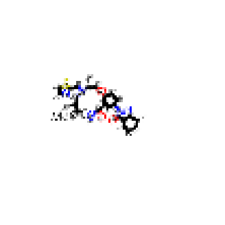 CO[C@H]1CN(C)C(=O)c2cc(NC(=O)C3CCCCC3)ccc2OC[C@@H](C)N(Cc2nccs2)C[C@@H]1C